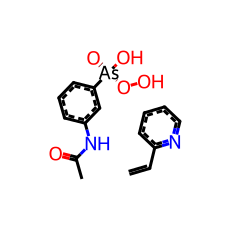 C=Cc1ccccn1.CC(=O)Nc1cccc([As](=O)(O)OO)c1